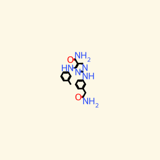 Cc1cccc(Nc2nc(Nc3cccc(CC(N)=O)c3)ncc2C(N)=O)c1